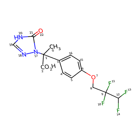 CC(C(=O)O)(c1ccc(OCC(F)(F)C(F)F)cc1)n1nc[nH]c1=O